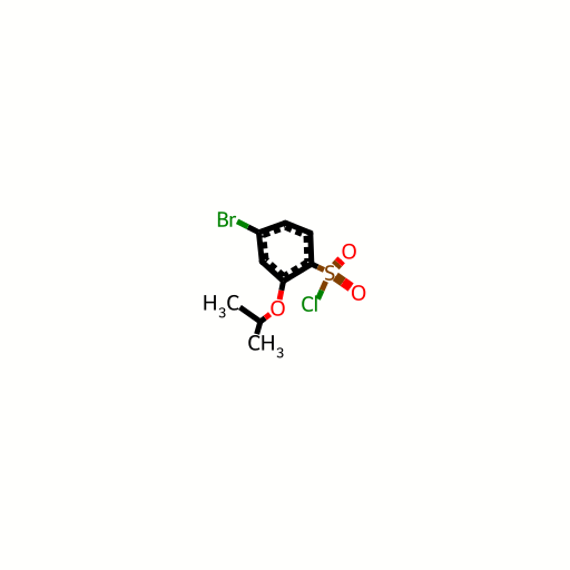 CC(C)Oc1cc(Br)ccc1S(=O)(=O)Cl